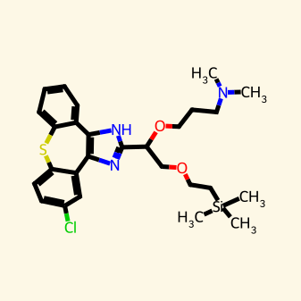 CN(C)CCCOC(COCC[Si](C)(C)C)c1nc2c([nH]1)-c1ccccc1Sc1ccc(Cl)cc1-2